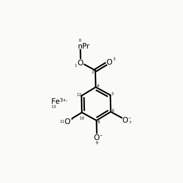 CCCOC(=O)c1cc([O-])c([O-])c([O-])c1.[Fe+3]